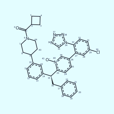 O=C(C1CCC1)N1CCC(c2cccc([C@H](Cc3ccccc3)c3ccc(-c4cc(Cl)ccc4-n4cnnn4)c[n+]3[O-])c2)CC1